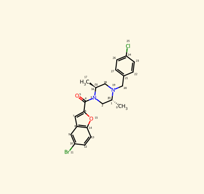 C[C@@H]1CN(C(=O)c2cc3cc(Br)ccc3o2)[C@@H](C)CN1Cc1ccc(Cl)cc1